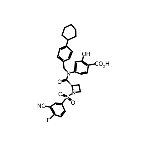 N#Cc1cc(S(=O)(=O)N2CC[C@@H]2C(=O)N(Cc2ccc(C3CCCCC3)cc2)c2ccc(C(=O)O)c(O)c2)ccc1F